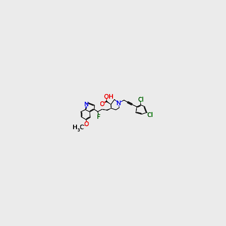 COc1ccc2nccc([C@H](F)CC[C@@H]3CCN(CC#Cc4ccc(Cl)cc4Cl)C[C@@H]3C(=O)O)c2c1